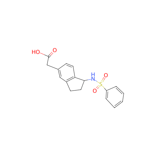 O=C(O)Cc1ccc2c(c1)CCC2NS(=O)(=O)c1ccccc1